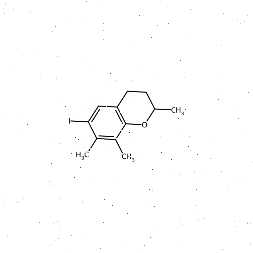 Cc1c(I)cc2c(c1C)OC(C)CC2